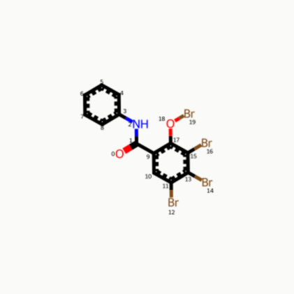 O=C(Nc1ccccc1)c1cc(Br)c(Br)c(Br)c1OBr